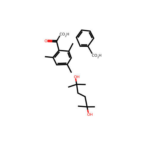 CC(C)(O)CCC(C)(C)O.Cc1cc(C)c(C(=O)C(=O)O)c(C)c1.O=C(O)c1ccccc1